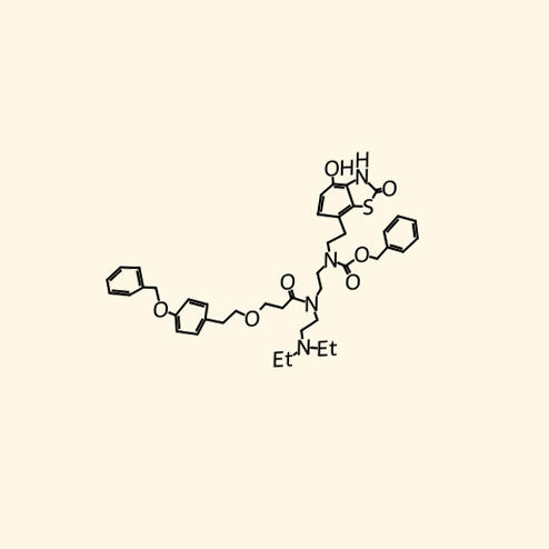 CCN(CC)CCN(CCN(CCc1ccc(O)c2[nH]c(=O)sc12)C(=O)OCc1ccccc1)C(=O)CCOCCc1ccc(OCc2ccccc2)cc1